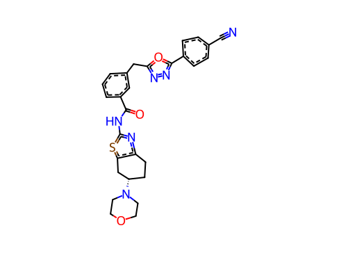 N#Cc1ccc(-c2nnc(Cc3cccc(C(=O)Nc4nc5c(s4)C[C@@H](N4CCOCC4)CC5)c3)o2)cc1